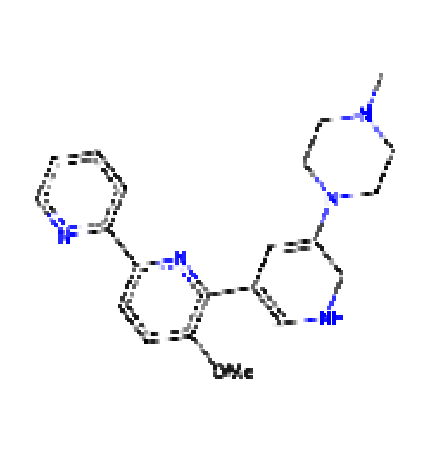 COc1ccc(-c2ccccn2)nc1C1=[C]NCC(N2CCN(C)CC2)=C1